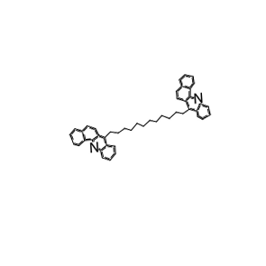 c1ccc2c(c1)ccc1c(CCCCCCCCCCCCc3c4ccccc4nc4c3ccc3ccccc34)c3ccccc3nc12